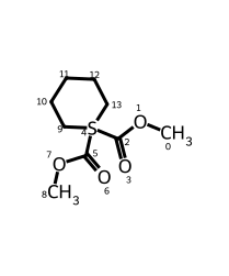 COC(=O)S1(C(=O)OC)CCCCC1